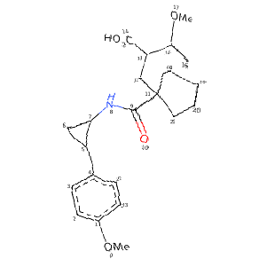 COc1ccc(C2CC2NC(=O)C2(CC(C(=O)O)C(C)OC)CCCC2)cc1